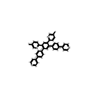 Cc1ccc(-c2cc(-c3ccc(C)cn3)c(-c3ccc(-c4ccncc4)cc3)cc2-c2ccc(-c3ccncc3)cc2)nc1